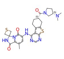 Cc1cc(Nc2ncnc3sc4c(c23)CC[C@H](C(=O)N2CC[C@H](N(C)C)C2)C4)c(=O)n2c1C(=O)NC21CSC1